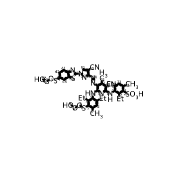 CCc1cc(C)c(SOOO)c(CC)c1Nc1nc(Nc2c(CC)cc(C)c(S(=O)(=O)O)c2CC)c(C#N)c(C)c1N=Nc1nn(-c2nc3ccc(SOOO)cc3s2)cc1C#N